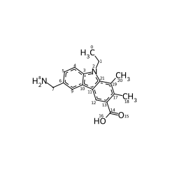 CCn1c2ccc(CN)cc2c2cc(C(=O)O)c(C)c(C)c21